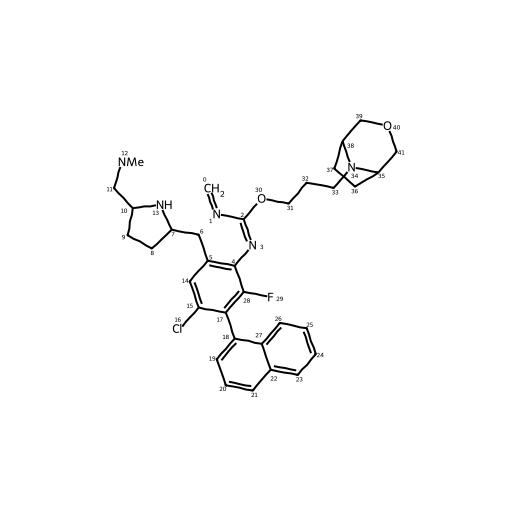 C=N/C(=N\c1c(CC2CCC(CNC)N2)cc(Cl)c(-c2cccc3ccccc23)c1F)OCCCN1C2CCC1COC2